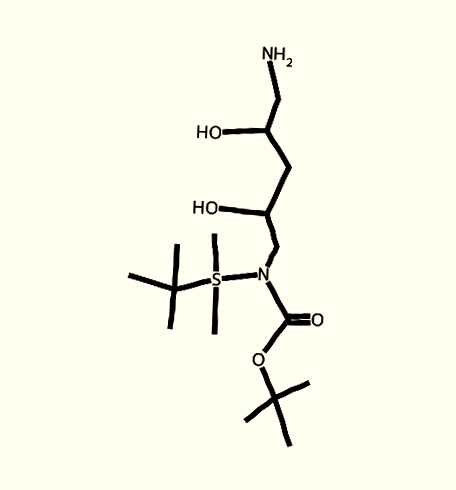 CC(C)(C)OC(=O)N(CC(O)CC(O)CN)S(C)(C)C(C)(C)C